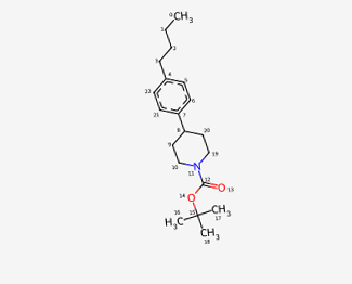 CCCCc1ccc(C2CCN(C(=O)OC(C)(C)C)CC2)cc1